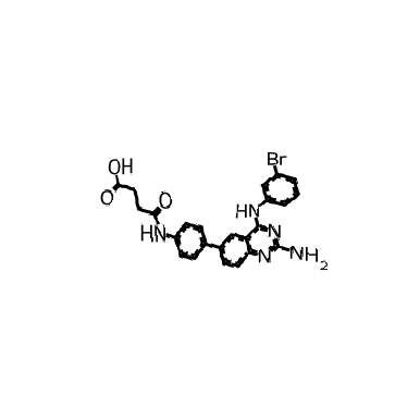 Nc1nc(Nc2cccc(Br)c2)c2cc(-c3ccc(NC(=O)CCC(=O)O)cc3)ccc2n1